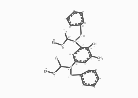 CCOC(CC)N(Oc1ccccc1)c1cc(C)c(C#N)c(N(Oc2ccccc2)C(CC)OCC)n1